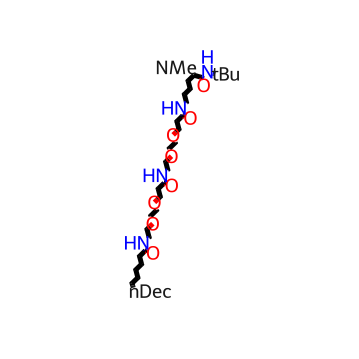 CCCCCCCCCCCCCCCC(=O)NCCOCCOCCC(=O)NCCOCCOCCC(=O)NCCCCC(NC)C(=O)NC(C)(C)C